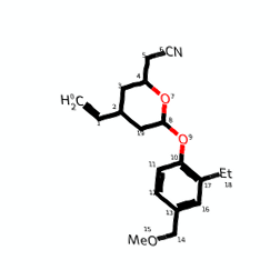 C=CC1CC(CC#N)OC(Oc2ccc(COC)cc2CC)C1